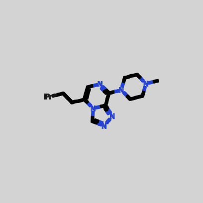 CC(C)CCc1cnc(N2CCN(C)CC2)c2nncn12